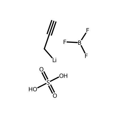 FB(F)F.O=S(=O)(O)O.[Li][CH2]C#C